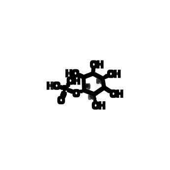 O=P(O)(O)O[C@@H]1C(O)C(O)[C@@H](O)C(O)[C@@H]1O